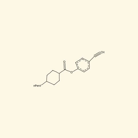 C#Cc1ccc(OC(=O)C2CCC(CCCCC)CC2)cc1